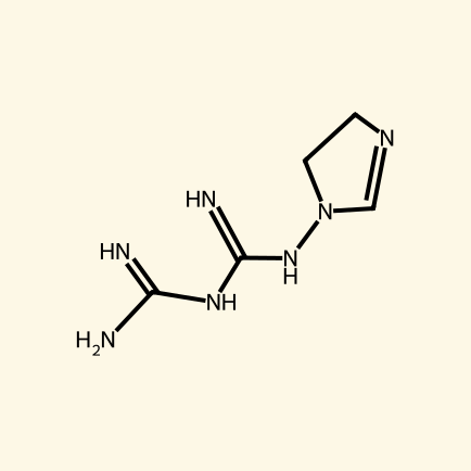 N=C(N)NC(=N)NN1C=NCC1